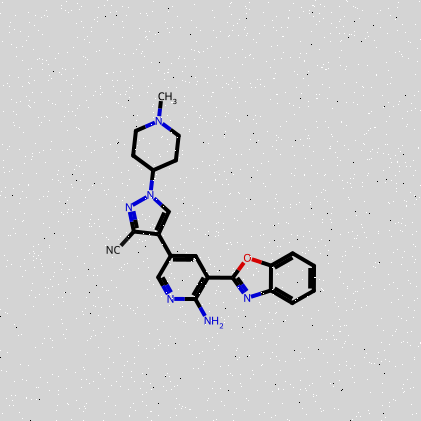 CN1CCC(n2cc(-c3cnc(N)c(-c4nc5ccccc5o4)c3)c(C#N)n2)CC1